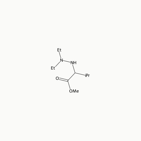 CCN(CC)NC(C(=O)OC)C(C)C